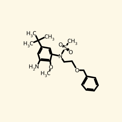 COc1c(N)cc(C(C)(C)C)cc1N(CCOCc1ccccc1)S(C)(=O)=O